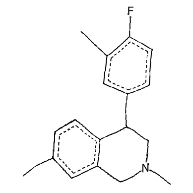 Cc1ccc2c(c1)CN(C)CC2c1ccc(F)c(C)c1